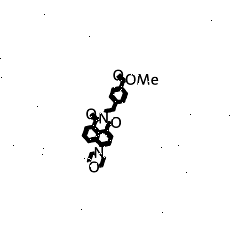 COC(=O)c1ccc(CCN2C(=O)c3cccc4c(N5CCOCC5)ccc(c34)C2=O)cc1